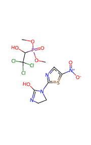 COP(=O)(OC)C(O)C(Cl)(Cl)Cl.O=[N+]([O-])c1cnc(N2CCN=C2O)s1